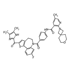 Cc1cnc(N2CC3(CCOCC3)C2)c(C(=O)Nc2ccc(C(=O)N3CCc4cc(C(=O)c5nc(C)c(C)[nH]5)sc4-c4ccc(F)cc43)cc2)c1